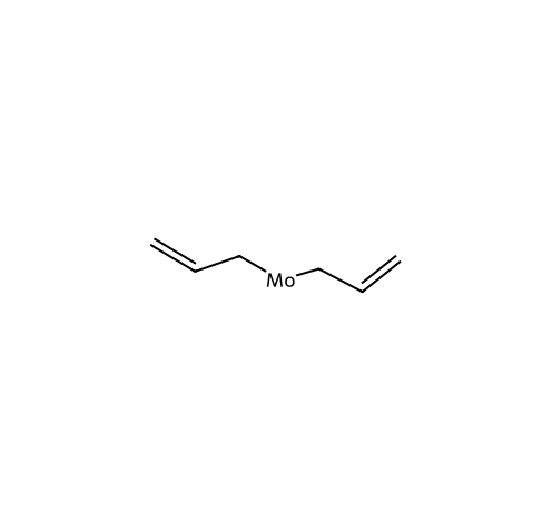 C=C[CH2][Mo][CH2]C=C